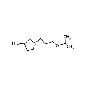 CC1CCN(CCCOC(C)C)C1